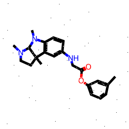 Cc1cccc(OC(=O)CNc2ccc3c(c2)C2(C)CCN(C)C2N3C)c1